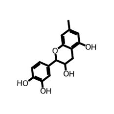 Cc1cc(O)c2c(c1)OC(c1ccc(O)c(O)c1)C(O)C2